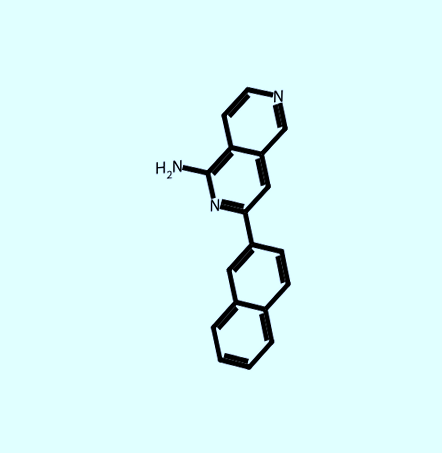 Nc1nc(-c2ccc3ccccc3c2)cc2cnccc12